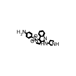 Nc1ccc(S(=O)(=O)n2ccc3c(NC4CCNC4)nc4ccccc4c32)cc1